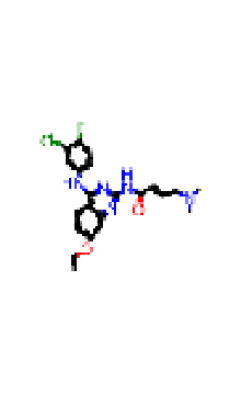 CCOc1ccc2c(Nc3ccc(F)c(Cl)c3)nc(NC(=O)/C=C/CN(C)C)nc2c1